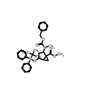 COC(=O)C12CC1C(O[Si](c1ccccc1)(c1ccccc1)C(C)(C)C)CC2N(C)C(=O)OCc1ccccc1